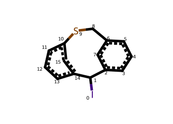 IC1c2cccc(c2)CSc2cccc1c2